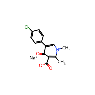 Cc1c(C(=O)[O-])c(=O)c(-c2ccc(Cl)cc2)cn1C.[Na+]